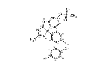 CS(=O)(=O)Oc1ccc(C2(c3ccc(F)c(-c4cc(F)cnc4Cl)c3)N=C(N)NC2=O)cc1